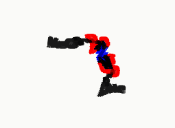 COc1ccc(C=CC(=O)OCN2C(=O)CN(CCN3CC(=O)N(COC(=O)C=Cc4ccc(OC)cc4)C(=O)C3)CC2=O)cc1